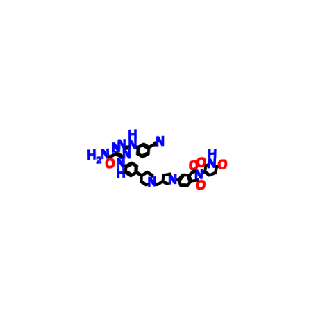 N#Cc1cccc(Nc2nnc(C(N)=O)c(Nc3ccc(C4CCN(CC5CCN(c6ccc7c(c6)C(=O)N(C6CCC(=O)NC6=O)C7=O)C5)CC4)cc3)n2)c1